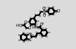 O=C(O)COc1ccc(CCCS(=O)(=O)c2ccc(Cl)cc2)cc1NC(=O)c1ccccc1/C=C/c1nc2ccccc2s1